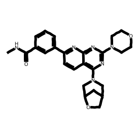 CNC(=O)c1cccc(-c2ccc3c(N4CC5COC(C5)C4)nc(N4CCOCC4)nc3n2)c1